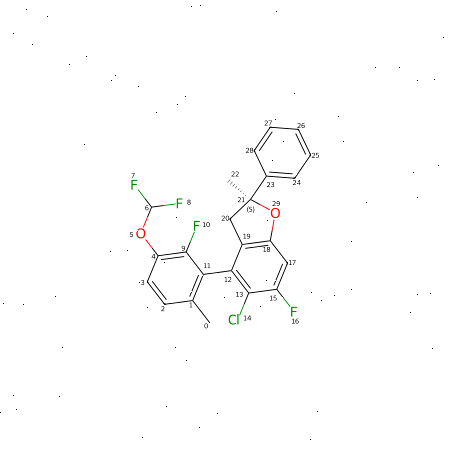 Cc1ccc(OC(F)F)c(F)c1-c1c(Cl)c(F)cc2c1C[C@@](C)(c1ccccc1)O2